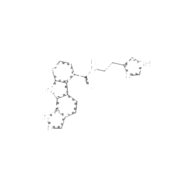 O=C(NCCc1c[nH]cn1)c1cccc2[nH]c3c(ccc4cn[nH]c43)c12